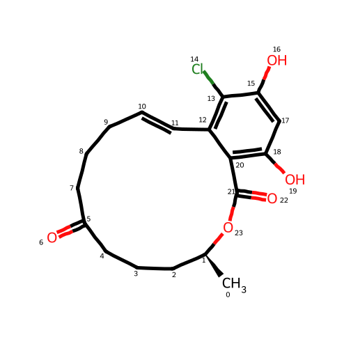 C[C@H]1CCCC(=O)CCC/C=C/c2c(Cl)c(O)cc(O)c2C(=O)O1